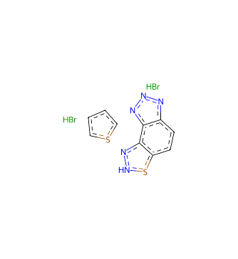 Br.Br.c1cc2s[nH]nc2c2nnnc12.c1ccsc1